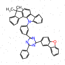 CC1(C)c2ccccc2-c2c1ccc1c3ccccc3n(-c3cccc(-c4nc(-c5ccccc5)nc(-c5ccc6oc7ccccc7c6c5)n4)c3)c21